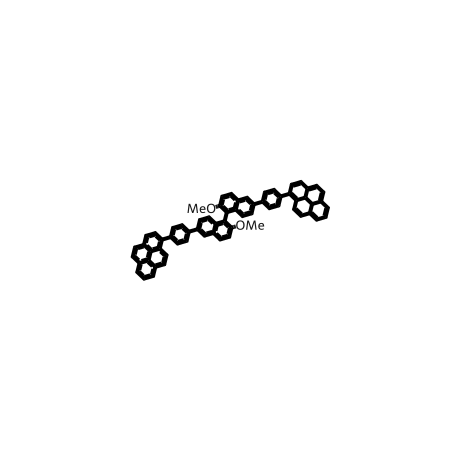 COc1ccc2cc(-c3ccc(C4=C5C=CC6=CC=CC7=CC=C(C=C4)C5C67)cc3)ccc2c1-c1c(OC)ccc2cc(-c3ccc(-c4ccc5ccc6cccc7ccc4c5c67)cc3)ccc12